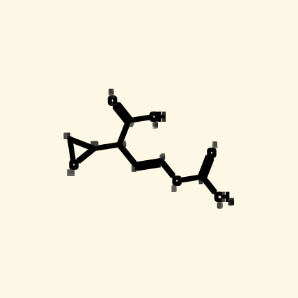 CC(=O)OC=CC(C(=O)O)C1CO1